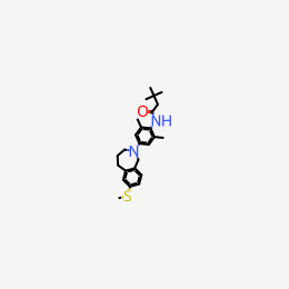 CSc1ccc2c(c1)CCCN(c1cc(C)c(NC(=O)CC(C)(C)C)c(C)c1)C2